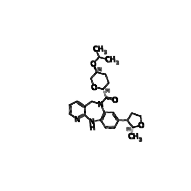 CC(C)O[C@H]1CC[C@H](C(=O)N2Cc3cccnc3Nc3ccc(C4CCO[C@@H]4C)cc32)OC1